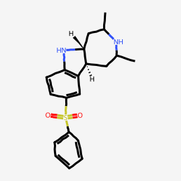 CC1C[C@H]2Nc3ccc(S(=O)(=O)c4ccccc4)cc3[C@@H]2CC(C)N1